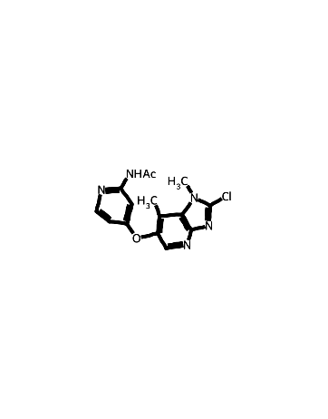 CC(=O)Nc1cc(Oc2cnc3nc(Cl)n(C)c3c2C)ccn1